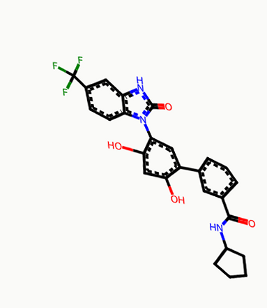 O=C(NC1CCCC1)c1cccc(-c2cc(-n3c(=O)[nH]c4cc(C(F)(F)F)ccc43)c(O)cc2O)c1